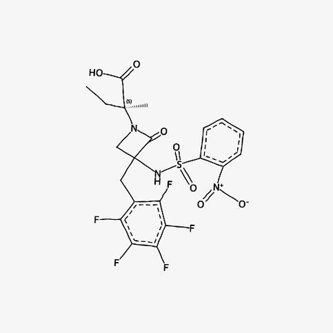 CC[C@@](C)(C(=O)O)N1CC(Cc2c(F)c(F)c(F)c(F)c2F)(NS(=O)(=O)c2ccccc2[N+](=O)[O-])C1=O